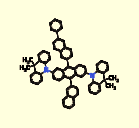 CC1(C)c2ccccc2N(c2ccc3c(-c4ccc5cc(-c6ccccc6)ccc5c4)c4cc(N5c6ccccc6C(C)(C)c6ccccc65)ccc4c(-c4ccc5ccccc5c4)c3c2)c2ccccc21